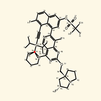 CC(C)[Si](C#Cc1c(F)ccc2cc(OS(=O)(=O)C(F)(F)F)cc(-c3ncc4c(N5CCCCC5)nc(OC[C@@]56CCCN5C[C@H](F)C6)nc4c3F)c12)(C(C)C)C(C)C